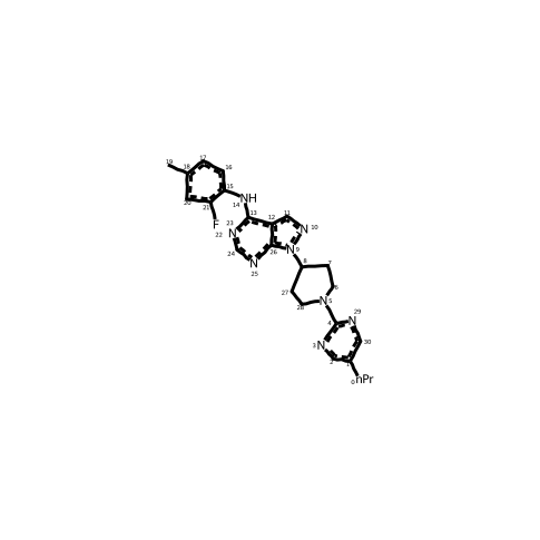 CCCc1cnc(N2CCC(n3ncc4c(Nc5ccc(C)cc5F)ncnc43)CC2)nc1